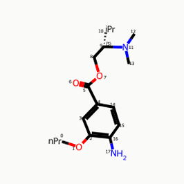 CCCOc1cc(C(=O)OC[C@H](C(C)C)N(C)C)ccc1N